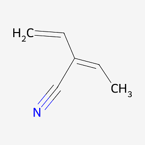 C=CC(C#N)=CC